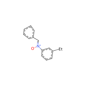 CCc1cccc([N+]([O-])=Cc2ccccc2)c1